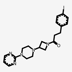 O=C(CCc1ccc(I)cc1)N1CC(N2CCN(c3ncccn3)CC2)C1